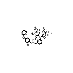 CC(C)(C)OC(=O)N(C(=O)OC(C)(C)C)c1cccc(CNCc2ccc(Oc3ncccn3)cc2O)c1F